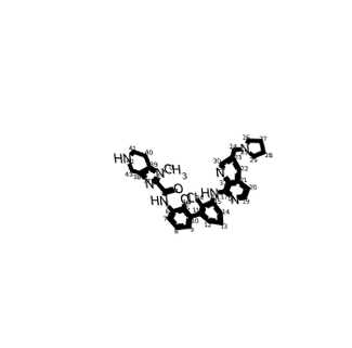 Cn1c(C(=O)Nc2cccc(-c3cccc(Nc4nccc5cc(CN6CCCC6)cnc45)c3Cl)c2Cl)nc2c1CCNC2